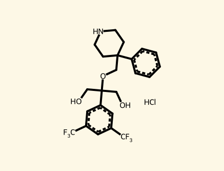 Cl.OCC(CO)(OCC1(c2ccccc2)CCNCC1)c1cc(C(F)(F)F)cc(C(F)(F)F)c1